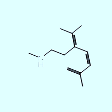 C=C(C)/C=C\C(CCNC)=C(C)C